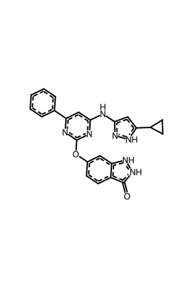 O=c1[nH][nH]c2cc(Oc3nc(Nc4cc(C5CC5)[nH]n4)cc(-c4ccccc4)n3)ccc12